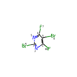 Fc1nc(Br)nc(F)c1Br